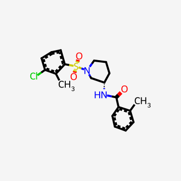 Cc1ccccc1C(=O)N[C@H]1CCCN(S(=O)(=O)c2cccc(Cl)c2C)C1